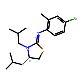 Cc1cc(Br)ccc1/N=C1\SC[C@H](CC(C)C)N1CC(C)C